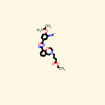 [C-]#[N+]c1cc(-c2nc(-c3cccc4c3OCCN(CCCC(=O)OCC)C4)no2)ccc1OC(C)C